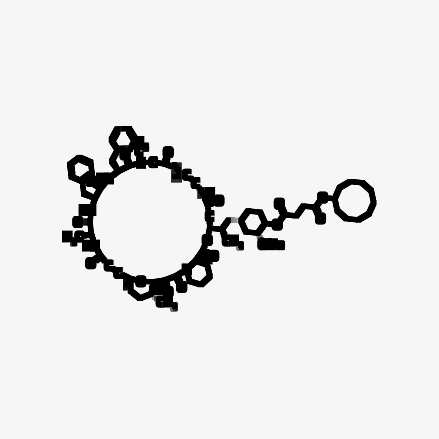 CO[C@@H]1C[C@H](C[C@@H](C)[C@@H]2CC(=O)NCCNC(=O)CN(C)C(=O)[C@H](Cc3ccccc3)NC(=O)[C@H](Cc3ccccc3)NC(=O)[C@H](C)NC(=O)CC[C@@H]3CC[C@@H](C)[C@@](O)(O3)C(=O)C(=O)N3CCCC[C@H]3C(=O)O2)CC[C@H]1OC(=O)CCC(=O)OC1CCCCCCCCC1